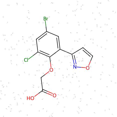 O=C(O)COc1c(Cl)cc(Br)cc1-c1ccon1